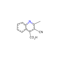 Cc1nc2ccccc2c(C(=O)O)c1C#N